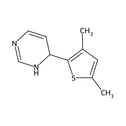 Cc1cc(C)c(C2C=CN=CN2)s1